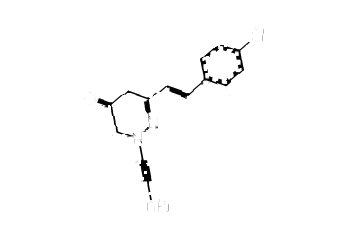 CCCC#CN1CC(=O)CC(C=Cc2ccc(Cl)cc2)=N1